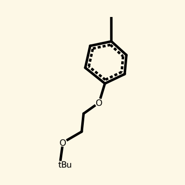 Cc1ccc(OCCOC(C)(C)C)cc1